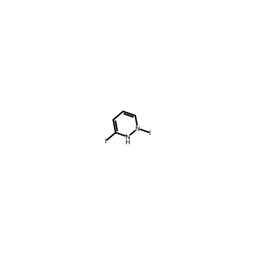 IC1=CC=CN(I)N1